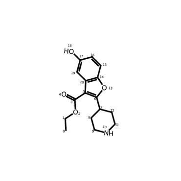 CCOC(=O)c1c(C2CCNCC2)oc2ccc(O)cc12